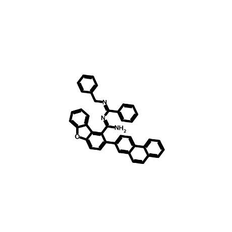 N/C(=N\C(=N/Cc1ccccc1)c1ccccc1)c1c(-c2ccc3c(ccc4ccccc43)c2)ccc2oc3ccccc3c12